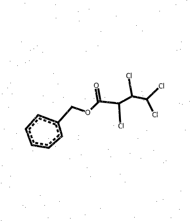 O=C(OCc1ccccc1)C(Cl)C(Cl)C(Cl)Cl